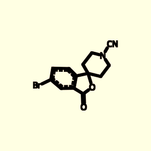 N#CN1CCC2(CC1)OC(=O)c1cc(Br)ccc12